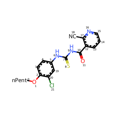 CCCCCOc1ccc(NC(=S)NC(=O)c2cccnc2C#N)cc1Cl